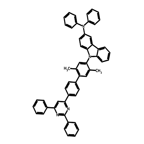 Cc1cc(-n2c3ccccc3c3cc(N(c4ccccc4)c4ccccc4)ccc32)c(C)cc1-c1ccc(-c2cc(-c3ccccc3)nc(-c3ccccc3)n2)cc1